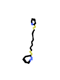 c1ccc(SSCCCCCCCSSc2ccccn2)nc1